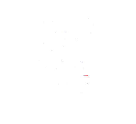 COP1(=O)CO[C@H]2O[C@@H]3[C@@H](Nc4c(nc(NC(=O)OC(C)(C)C)n(C(=O)OC(C)(C)C)c4=O)N3C(=O)OC(C)(C)C)[C@@H](O)[C@H]2O1